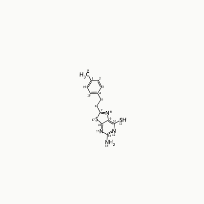 Cc1ccc(CCc2nc3c(S)nc(N)nc3s2)cc1